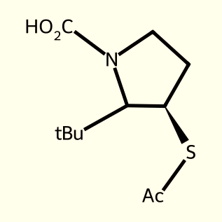 CC(=O)S[C@@H]1CCN(C(=O)O)C1C(C)(C)C